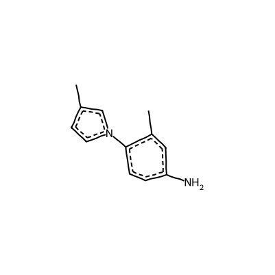 Cc1ccn(-c2ccc(N)cc2C)c1